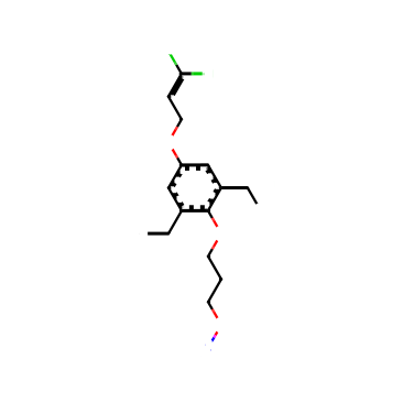 CCc1cc(OCC=C(Cl)Cl)cc(CC)c1OCCCON.Cl